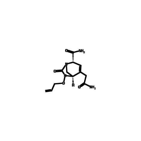 C=CCON1C(=O)N2C[C@H]1C(CC(N)=O)=C[C@H]2C(N)=O